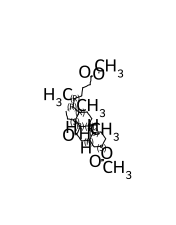 COC(=O)CCC[C@@H](C)[C@H]1CC[C@H]2[C@@H]3C(=O)C[C@H]4C[C@@H](OC(C)=O)CC[C@]4(C)[C@H]3CC[C@]12C